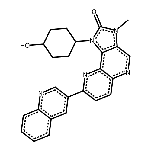 Cn1c(=O)n(C2CCC(O)CC2)c2c3nc(-c4cnc5ccccc5c4)ccc3ncc21